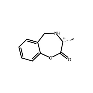 C[C@H]1NCc2ccccc2OC1=O